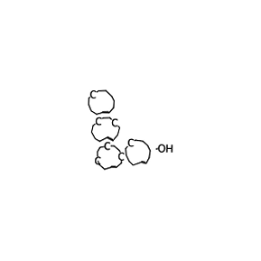 C1=C/CCCCCCCCCC/1.C1=C/CCCCCCCCCC/1.C1=C/CCCCCCCCCC/1.C1=C/CCCCCCCCCC/1.CO